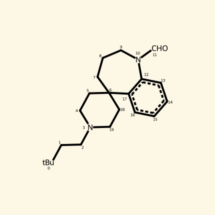 CC(C)(C)CCN1CCC2(CCCN(C=O)c3ccccc32)CC1